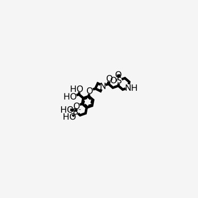 O=C(CC1CNCCS1(=O)=O)N1CC(Oc2ccc3c(c2C(O)O)O[B-](O)(O)CC3)C1